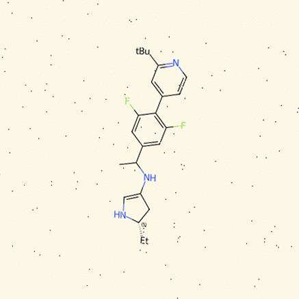 CC[C@H]1CC(NC(C)c2cc(F)c(-c3ccnc(C(C)(C)C)c3)c(F)c2)=CN1